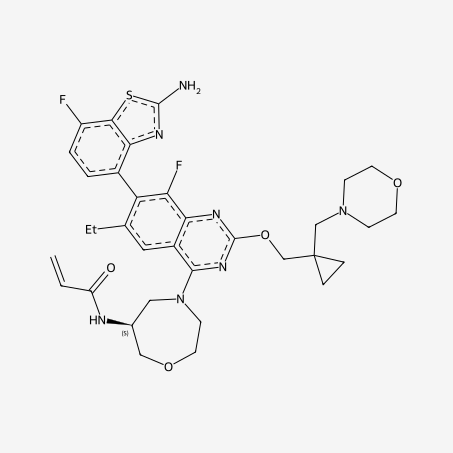 C=CC(=O)N[C@@H]1COCCN(c2nc(OCC3(CN4CCOCC4)CC3)nc3c(F)c(-c4ccc(F)c5sc(N)nc45)c(CC)cc23)C1